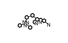 N#Cc1ccc2cc3cc(-c4cccc(-c5cccc(-c6nc(-c7ccccc7)nc(-c7ccccc7)n6)c5)c4)c4cccnc4c3nc2c1